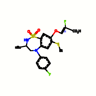 CCCCC1CN(c2ccc(F)cc2)c2cc(SCC)c(O/C=C(\F)C(=O)O)cc2S(=O)(=O)N1